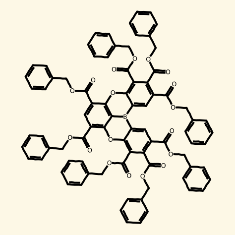 O=C(OCc1ccccc1)c1cc(C(=O)OCc2ccccc2)c2c3c1Oc1c(cc(C(=O)OCc4ccccc4)c(C(=O)OCc4ccccc4)c1C(=O)OCc1ccccc1)B3c1cc(C(=O)OCc3ccccc3)c(C(=O)OCc3ccccc3)c(C(=O)OCc3ccccc3)c1O2